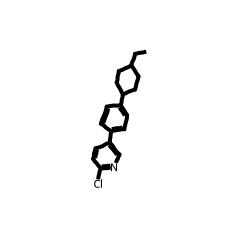 CCC1CCC(c2ccc(-c3ccc(Cl)nc3)cc2)CC1